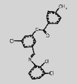 Cc1ccc(C(=O)Oc2cc(Cl)cc(C=Nc3cccc(Cl)c3Cl)c2)cc1